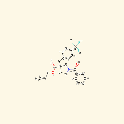 C=CCOC(=O)C1(Cc2ccc(C(F)(F)F)cc2)CCN(C(=O)c2ccccc2)C1